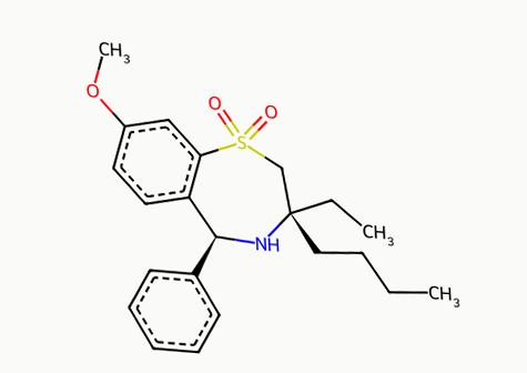 CCCC[C@]1(CC)CS(=O)(=O)c2cc(OC)ccc2[C@H](c2ccccc2)N1